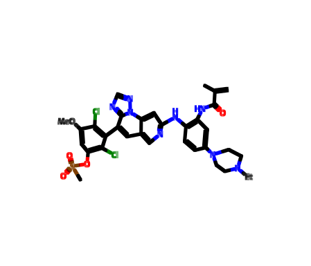 C=C(C)C(=O)Nc1cc(N2CCN(CC)CC2)ccc1Nc1cc2c(cn1)cc(-c1c(Cl)c(OC)cc(OS(C)(=O)=O)c1Cl)c1ncnn12